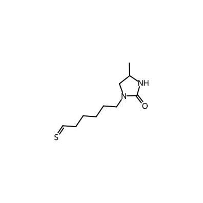 CC1CN(CCCCCC=S)C(=O)N1